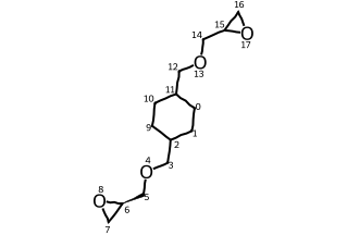 C1CC(COC[C@H]2CO2)CCC1COCC1CO1